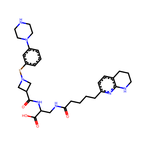 O=C(CCCCc1ccc2c(n1)NCCC2)NCC(NC(=O)C1CN(Sc2cccc(N3CCNCC3)c2)C1)C(=O)O